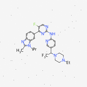 CCN1CCN(C(c2ccc(Nc3ncc(F)c(-c4ccc5nc(C)n(C(C)C)c5c4)n3)nc2)C(F)(F)F)CC1